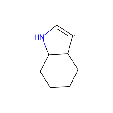 [C]1=CNC2CCCCC12